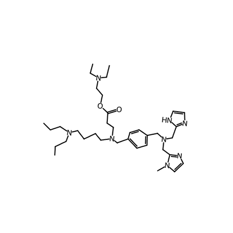 CCCN(CCC)CCCCN(CCC(=O)OCCN(CC)CC)Cc1ccc(CN(Cc2ncc[nH]2)Cc2nccn2C)cc1